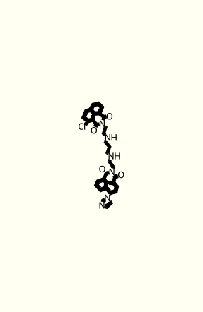 O=C1c2cccc3ccc(Cl)c(c23)C(=O)N1CCNCCCNCCN1C(=O)c2cccc3c(-n4ccnc4)ccc(c23)C1=O